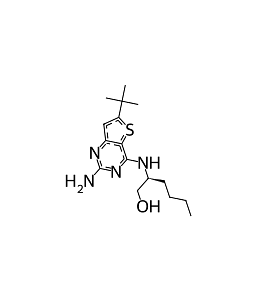 CCCC[C@@H](CO)Nc1nc(N)nc2cc(C(C)(C)C)sc12